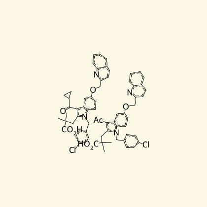 CC(=O)c1c(CC(C)(C)C(=O)O)n(Cc2ccc(Cl)cc2)c2ccc(OCc3ccc4ccccc4n3)cc12.CC(C)(Cc1c(C(=O)C2CC2)c2cc(OCc3ccc4ccccc4n3)ccc2n1Cc1ccc(Cl)cc1)C(=O)O